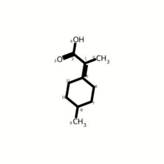 CC(C(=O)O)=C1CCC(C)CC1